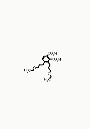 C=COCCCc1ccc(C(=O)O)c(C(=O)O)c1CCCOC=C